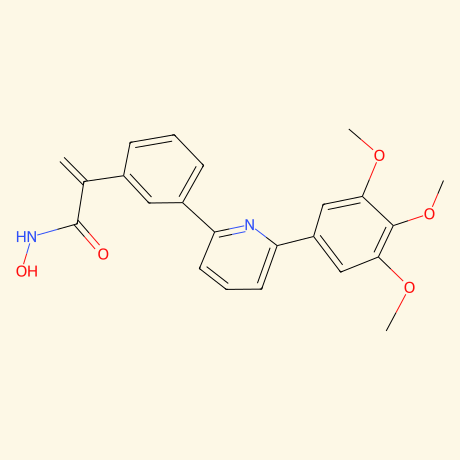 C=C(C(=O)NO)c1cccc(-c2cccc(-c3cc(OC)c(OC)c(OC)c3)n2)c1